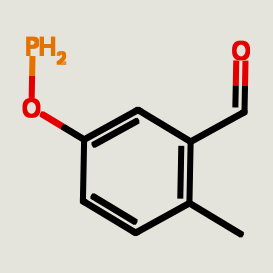 Cc1ccc(OP)cc1C=O